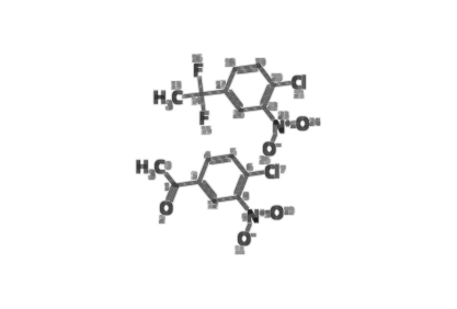 CC(=O)c1ccc(Cl)c([N+](=O)[O-])c1.CC(F)(F)c1ccc(Cl)c([N+](=O)[O-])c1